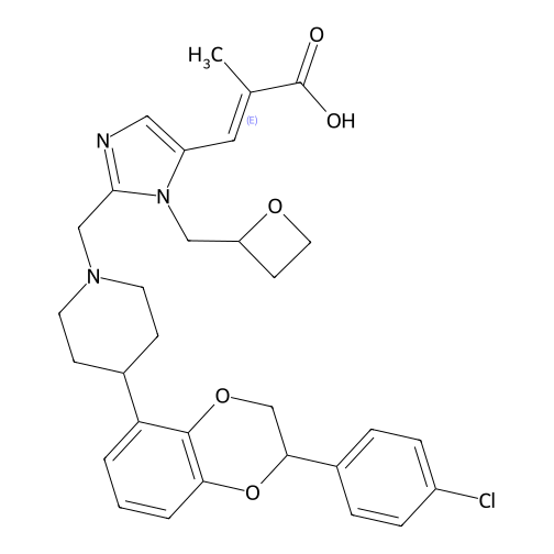 C/C(=C\c1cnc(CN2CCC(c3cccc4c3OCC(c3ccc(Cl)cc3)O4)CC2)n1CC1CCO1)C(=O)O